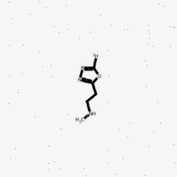 [2H]c1nnc(CCNC)o1